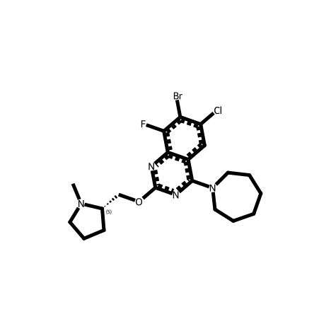 CN1CCC[C@H]1COc1nc(N2CCCCCC2)c2cc(Cl)c(Br)c(F)c2n1